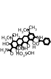 CN(C)c1cc(NC(=O)c2ccccc2)c(O)c2c1CC1CC3[C@H](N(C)C)C(O)=C(C(N)=O)C(=O)[C@@]3(O)C(O)=C1C2=O.O=S(=O)(O)O